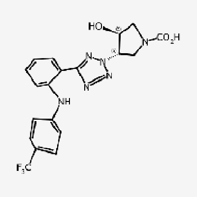 O=C(O)N1C[C@H](O)[C@@H](n2nnc(-c3ccccc3Nc3ccc(C(F)(F)F)cc3)n2)C1